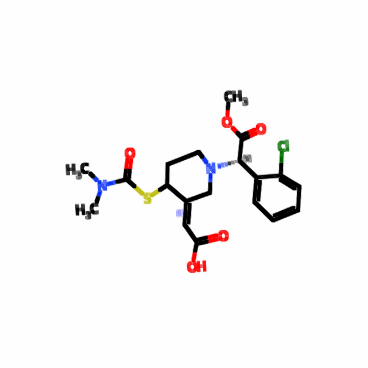 COC(=O)[C@H](c1ccccc1Cl)N1CCC(SC(=O)N(C)C)/C(=C/C(=O)O)C1